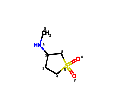 CNC1CCS(=O)(=O)C1